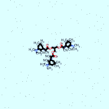 CN(C)C1=C(C#N)/C(=C(\C#N)C(=O)OCC(COC(=O)/C(C#N)=C2\CC(C)(C)CC(N(C)C)=C2C#N)COC(=O)/C(C#N)=C2\CC(C)(C)CC(N(C)C)=C2C#N)CC(C)(C)C1